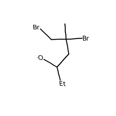 CCC([O])CC(C)(Br)CBr